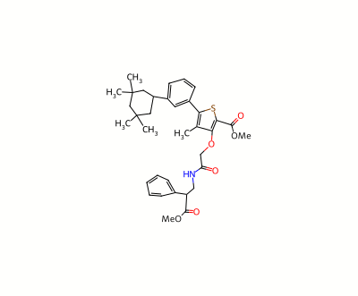 COC(=O)c1sc(-c2cccc(C3CC(C)(C)CC(C)(C)C3)c2)c(C)c1OCC(=O)NCC(C(=O)OC)c1ccccc1